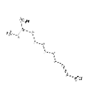 CCCCCCCCC=CCCCCCCC(CC(F)(F)F)C(=O)O